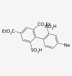 CCOC(=O)c1cc(C(=O)OCC)c(-c2cc[c]([Na])cc2S(=O)(=O)O)c(S(=O)(=O)O)c1